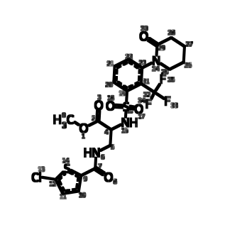 COC(=O)C(CNC(=O)c1ccc(Cl)s1)NS(=O)(=O)c1cccc(N2CCCCC2=O)c1C(F)(F)F